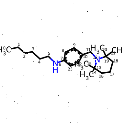 CCCCCCNc1ccc(CN2C(C)(C)CCCC2(C)C)cc1